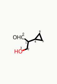 O=CC(CO)C1CC1